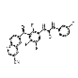 N#Cc1cnc2ccc(C(=O)c3c(F)c(F)cc(NC(=O)Nc4cccc(F)c4)c3F)cc2c1